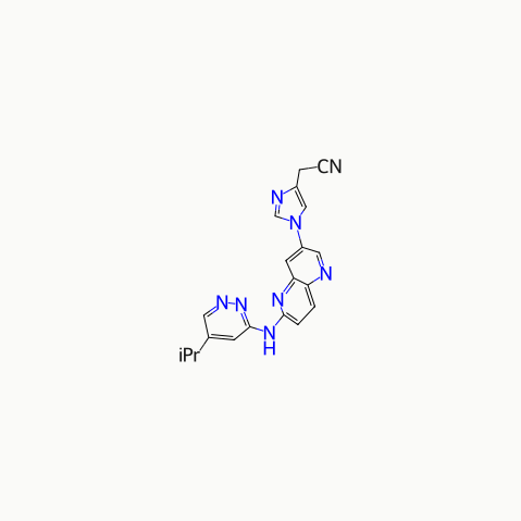 CC(C)c1cnnc(Nc2ccc3ncc(-n4cnc(CC#N)c4)cc3n2)c1